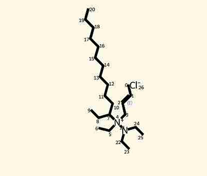 C/C=C/C[N+](CC)(C(CC)CCCCCCCCCCC)N(CC)CC.[Cl-]